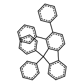 c1ccc(-c2ccc3c(c2-c2ccccc2)C(c2ccccc2)(c2ccccc2)c2ccccc2-3)cc1